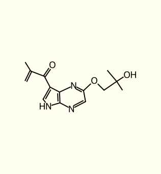 C=C(C)C(=O)c1c[nH]c2ncc(OCC(C)(C)O)nc12